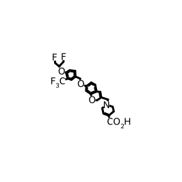 O=C(O)C1=CCN(CC2=Cc3ccc(OCc4ccc(OC(CF)CF)c(C(F)(F)F)c4)cc3OC2)CC1